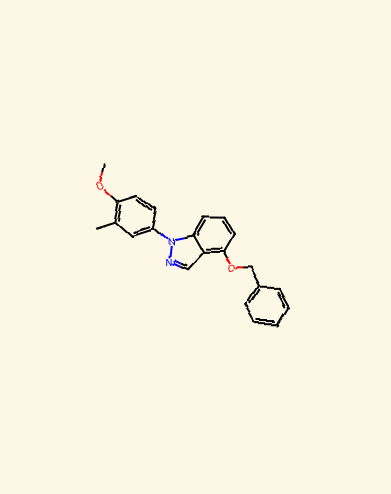 COc1ccc(-n2ncc3c(OCc4ccccc4)cccc32)cc1C